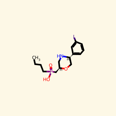 CCCCP(=O)(O)C[C@H]1CN[C@H](c2cccc(I)c2)CO1